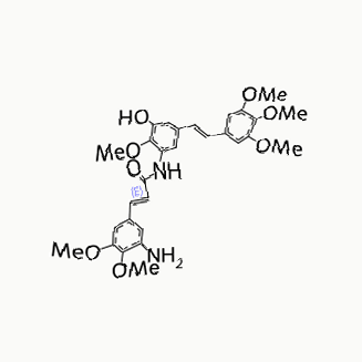 COc1cc(/C=C/C(=O)Nc2cc(C=Cc3cc(OC)c(OC)c(OC)c3)cc(O)c2OC)cc(N)c1OC